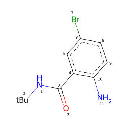 CC(C)(C)NC(=O)c1cc(Br)ccc1N